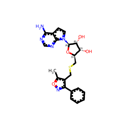 Cc1onc(-c2ccccc2)c1CSC[C@H]1O[C@@H](n2ccc3c(N)ncnc32)[C@H](O)[C@@H]1O